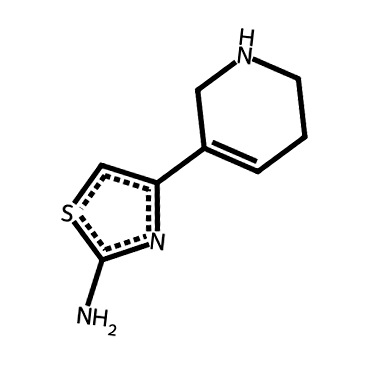 Nc1nc(C2=CCCNC2)cs1